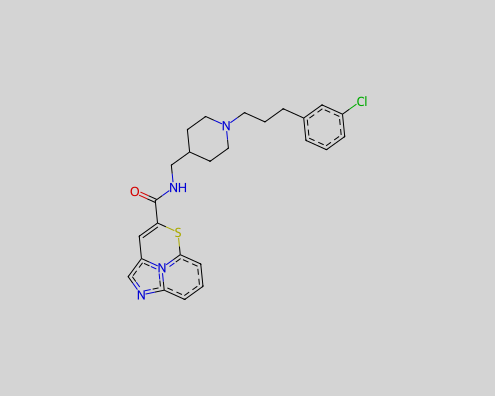 O=C(NCC1CCN(CCCc2cccc(Cl)c2)CC1)C1=Cc2cnc3cccc(n23)S1